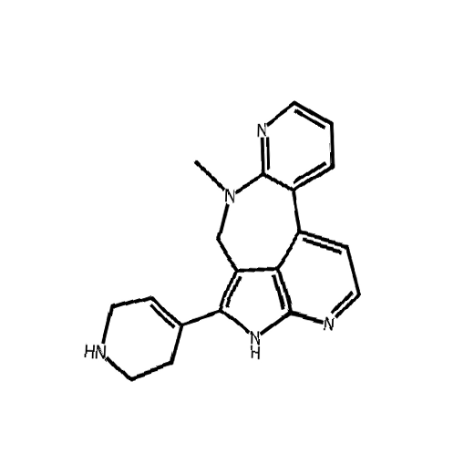 CN1Cc2c(C3=CCNCC3)[nH]c3nccc(c23)-c2cccnc21